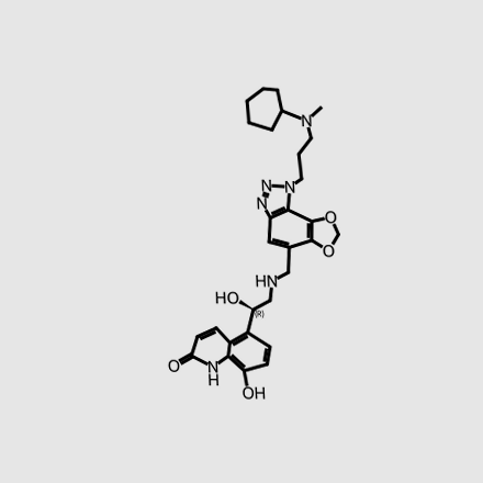 CN(CCCn1nnc2cc(CNC[C@H](O)c3ccc(O)c4[nH]c(=O)ccc34)c3c(c21)OCO3)C1CCCCC1